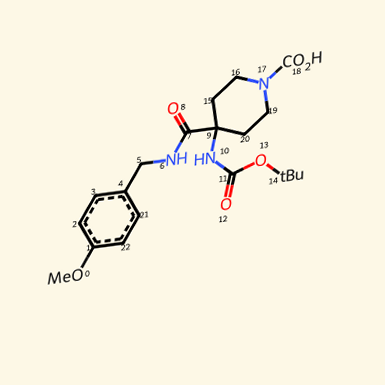 COc1ccc(CNC(=O)C2(NC(=O)OC(C)(C)C)CCN(C(=O)O)CC2)cc1